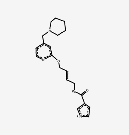 O=C(NCC=CCOc1cc(CN2CCCCC2)ccn1)c1cc[nH]c1